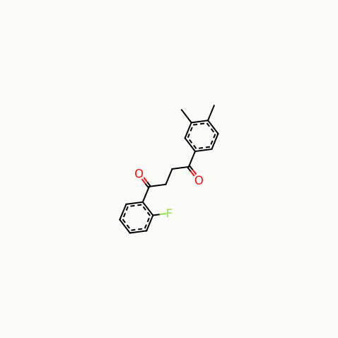 Cc1ccc(C(=O)CCC(=O)c2ccccc2F)cc1C